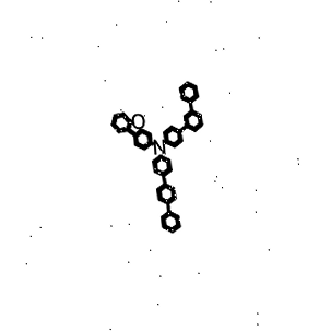 c1ccc(-c2ccc(-c3ccc(N(c4ccc(-c5cccc(-c6ccccc6)c5)cc4)c4ccc5c(c4)oc4ccccc45)cc3)cc2)cc1